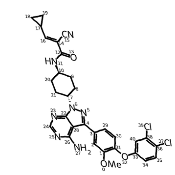 COc1cc(-c2nn([C@H]3CC[C@H](NC(=O)C(C#N)=CC4CC4)CC3)c3ncnc(N)c23)ccc1Oc1ccc(Cl)c(Cl)c1